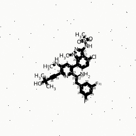 CNc1cc(-c2ccc(Cl)c3c(NS(C)(=O)=O)nn(C)c23)c([C@@H](N)Cc2cc(F)cc(F)c2)nc1C#CC(C)(C)O